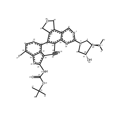 CN(C)[C@@H]1CN(c2ncc3c4c(c(-c5ncc(F)c6sc(NC(=O)OC(C)(C)C)c(C#N)c56)c(Cl)c3n2)COC4)C[C@H]1O